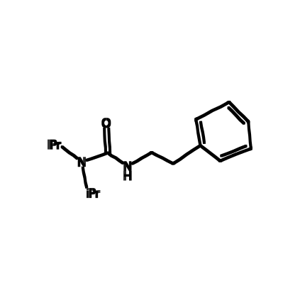 CC(C)N(C(=O)NCCc1ccccc1)C(C)C